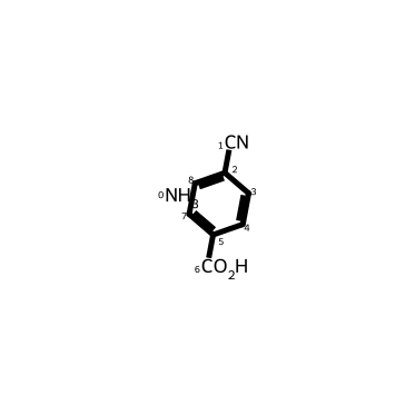 N.N#Cc1ccc(C(=O)O)cc1